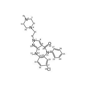 CN1CCN(CCn2cc3c(n2)N(C)c2ccc(Cl)cc2N(c2ccccc2)C3=O)CC1